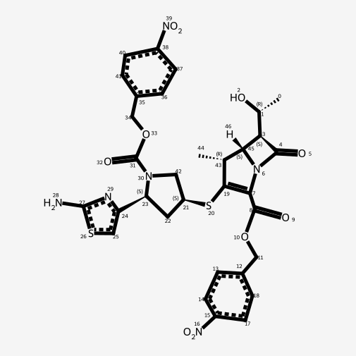 C[C@@H](O)[C@H]1C(=O)N2C(C(=O)OCc3ccc([N+](=O)[O-])cc3)=C(S[C@H]3C[C@@H](c4csc(N)n4)N(C(=O)OCc4ccc([N+](=O)[O-])cc4)C3)[C@H](C)[C@H]12